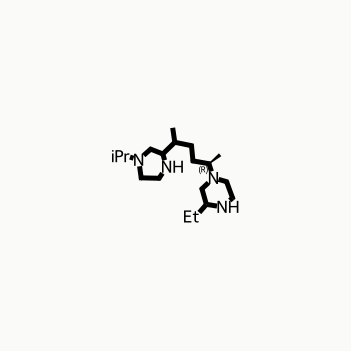 CCC1CN([C@H](C)CCC(C)C2CN(C(C)C)CCN2)CCN1